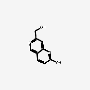 OCc1cc2nc(O)ccc2cn1